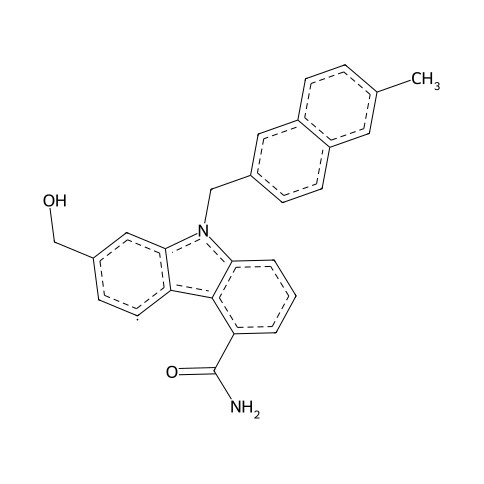 Cc1ccc2cc(Cn3c4cc(CO)c[c]c4c4c(C(N)=O)cccc43)ccc2c1